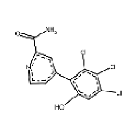 NC(=O)c1cc(-c2c(O)cc(Cl)c(Cl)c2Cl)ccn1